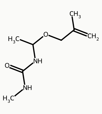 C=C(C)COC(C)NC(=O)NC